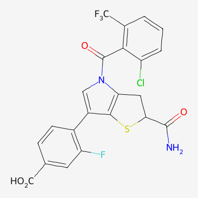 NC(=O)C1Cc2c(c(-c3ccc(C(=O)O)cc3F)cn2C(=O)c2c(Cl)cccc2C(F)(F)F)S1